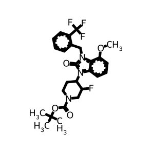 COc1cccc2c1n(Cc1ccccc1C(F)(F)F)c(=O)n2C1CCN(C(=O)OC(C)(C)C)CC1F